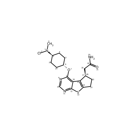 CN(Cl)[C@H]1CC[C@H](Oc2ncnc3sc4c(c23)[C@@H](CC(N)=O)CC4)CC1